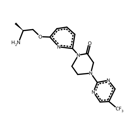 C[C@H](N)COc1cccc(N2CCN(c3ncc(C(F)(F)F)cn3)CC2=O)n1